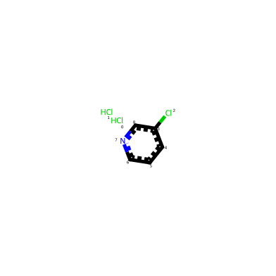 Cl.Cl.Clc1cccnc1